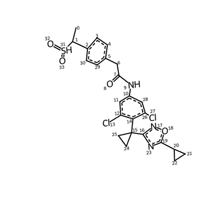 CC(c1ccc(CC(=O)Nc2cc(Cl)c(C3(c4noc(C5CC5)n4)CC3)c(Cl)c2)cc1)[SH](=O)=O